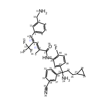 C/C(=C\C(=N/c1cccc(CN)c1)C(F)(F)F)C(=O)Nc1cc(C(N)(CCC2CC2)c2cccc(C#N)c2)ccc1F